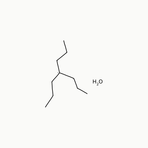 CCC[C](CCC)CCC.O